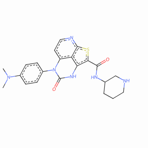 CN(C)c1ccc(N2C(=O)Nc3c(C(=O)NC4CCCNC4)sc4nccc2c34)cc1